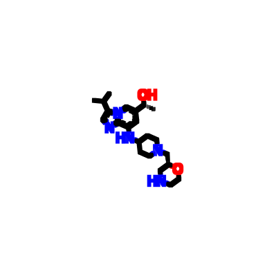 CC(C)c1cnc2c(NC3CCN(C[C@@H]4CNCCO4)CC3)cc([C@@H](C)O)cn12